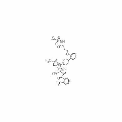 CCCC1N(C(=O)c2cnccc2C(F)(F)F)CCC[C@@]1(Oc1csc(C(F)(F)F)c1)C(=O)N1CCC(c2ccccc2OCCCC(=O)NS(=O)(=O)C2CC2)CC1